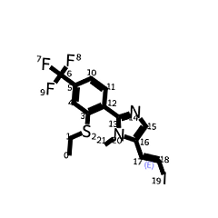 CCSc1cc(C(F)(F)F)ccc1-c1ncc(/C=C/I)n1C